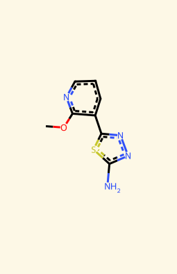 COc1ncccc1-c1nnc(N)s1